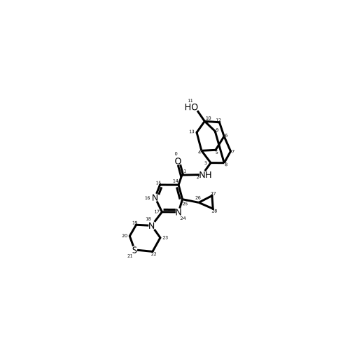 O=C(NC1C2CC3CC1CC(O)(C3)C2)c1cnc(N2CCSCC2)nc1C1CC1